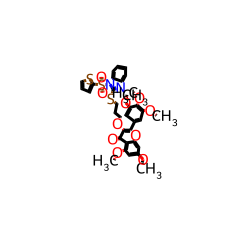 COc1cc(OC)c2c(=O)c(OCCCSc3nc4ccccc4n3S(=O)(=O)c3cccs3)c(-c3cc(OC)c(OC)c(OC)c3)oc2c1